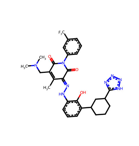 CC1=C(CN(C)C)C(=O)N(c2cccc(C(F)(F)F)c2)C(=O)C1=NNc1cccc(C2CCCC(c3nnn[nH]3)C2)c1O